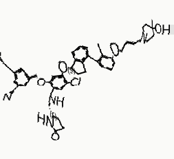 Cc1c(OCCCN2CCC(C)(O)CC2)cccc1-c1cccc2c1CC[C@@H]2Oc1cc(OCc2cc(C#N)cc(C#N)c2)c(CNC[C@@H]2CCC(=O)N2)cc1Cl